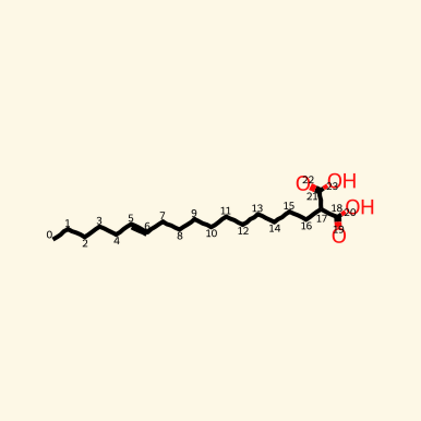 CCCCCC=CCCCCCCCCCCC(C(=O)O)C(=O)O